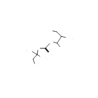 CCC(C)C(C)OC(=O)OC(C)(C)CC